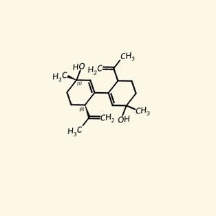 C=C(C)C1CCC(C)(O)C=C1C1=C[C@@](C)(O)CC[C@@H]1C(=C)C